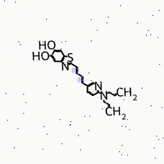 C=CCN(CC=C)c1ccc(/C=C/C=C/c2nc3cc(O)c(O)cc3s2)cn1